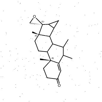 CC1C2=CC(=O)CC[C@]2(C)C2CC[C@@]3(C)C(C4CC4[C@@]34CO4)C2C1C